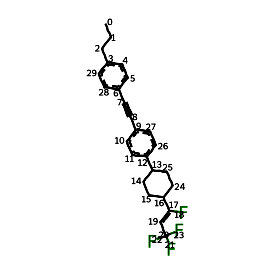 CCCc1ccc(C#Cc2ccc(C3CCC(/C(F)=C/C(F)(F)F)CC3)cc2)cc1